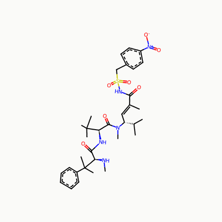 CN[C@H](C(=O)N[C@H](C(=O)N(C)[C@H](C=C(C)C(=O)NS(=O)(=O)Cc1ccc([N+](=O)[O-])cc1)C(C)C)C(C)(C)C)C(C)(C)c1ccccc1